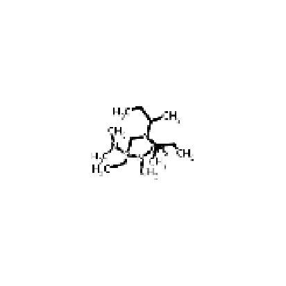 CCC(C)N(C[Si](CC)(N(C)C)N(C)C)C(C)CC